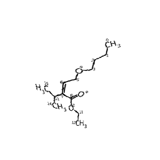 CCCCOCC=C(C(=O)OCC)C(C)C